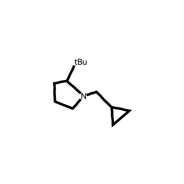 CC(C)(C)C1CCCN1CC1CC1